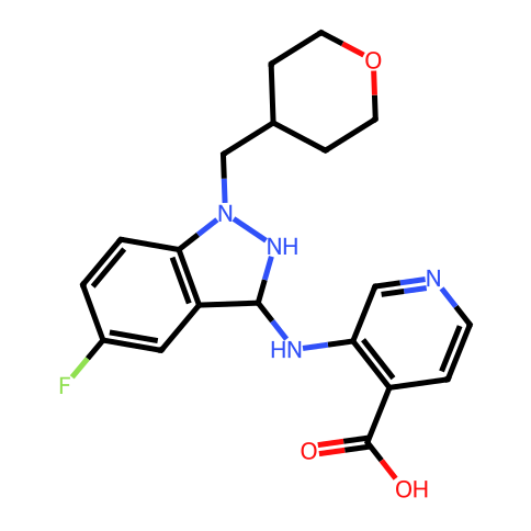 O=C(O)c1ccncc1NC1NN(CC2CCOCC2)c2ccc(F)cc21